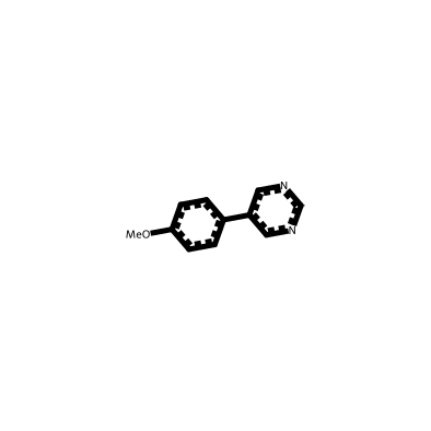 COc1ccc(-c2cn[c]nc2)cc1